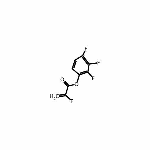 C=C(F)C(=O)Oc1ccc(F)c(F)c1F